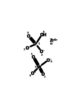 O=P([O-])([O-])O.[O]=[W](=[O])([O-])[O-].[Zr+4]